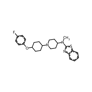 CN(c1nc2ccccc2s1)C1CCN(C2CCC(Oc3ccc(F)cc3)CC2)CC1